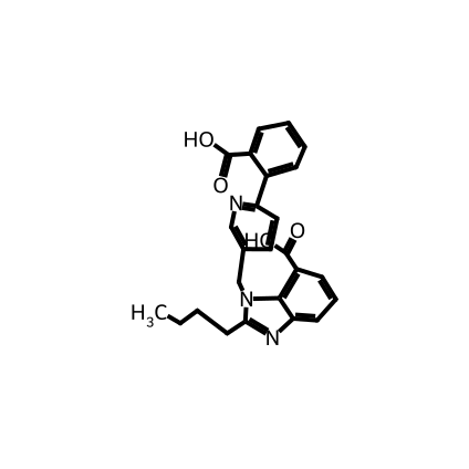 CCCCc1nc2cccc(C(=O)O)c2n1Cc1ccc(-c2ccccc2C(=O)O)nc1